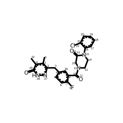 Cc1c(Cc2ccc(F)c(C(=O)N3CCN(c4ccccc4Cl)C(=O)C3)c2)n[nH]c(=O)c1C